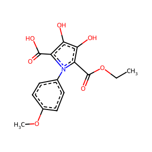 CCOC(=O)c1c(O)c(O)c(C(=O)O)n1-c1ccc(OC)cc1